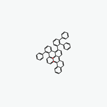 c1ccc(-c2cccc(-c3ccc4c(ccc5c6ccccc6ccc45)c3-c3cccc(-c4ccccc4)c3-c3ccccc3)c2-c2ccccc2)cc1